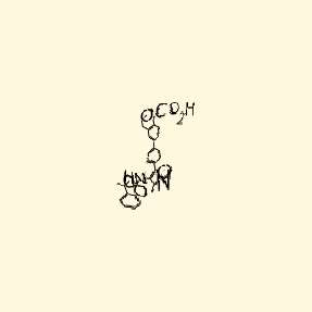 Cc1noc(-c2ccc(-c3ccc4c(c3)CCOC4C(=O)O)cc2)c1NC(=O)O[C@H](C)c1ccccc1